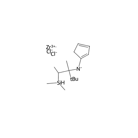 CC([SiH](C)C)C(C)([N-]C1=CC=CC1)C(C)(C)C.[Cl-].[Cl-].[Zr+3]